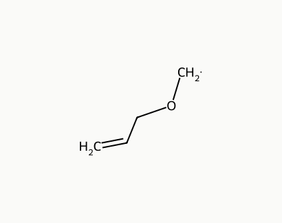 [CH2]OCC=C